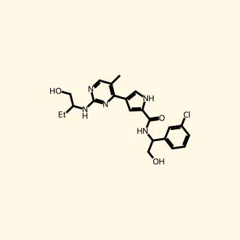 CCC(CO)Nc1ncc(C)c(-c2c[nH]c(C(=O)NC(CO)c3cccc(Cl)c3)c2)n1